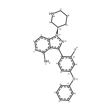 Nc1nccc2c1c(-c1ccc(Oc3ccccc3)cc1F)nn2[C@@H]1CCCNC1